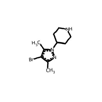 Cc1nn(C2CCNCC2)c(C)c1Br